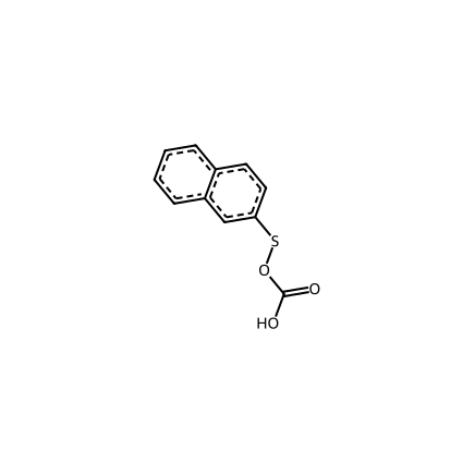 O=C(O)OSc1ccc2ccccc2c1